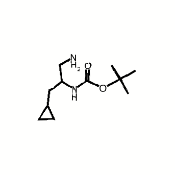 CC(C)(C)OC(=O)NC(CN)CC1CC1